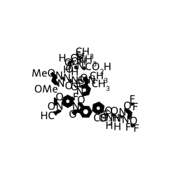 C#CCN1C(=O)COc2cc(F)c(N3C(=O)C4=C(CCCC4)C3=O)cc21.COc1cc(OC)nc(NC(=O)NS(=O)(=O)c2ncccc2C(=O)N(C)C)n1.C[S+](C)C.O=C(Nc1nc(OC(F)F)cc(OC(F)F)n1)NS(=O)(=O)c1ccccc1C(=O)O.O=C(O)CNCP(=O)([O-])O